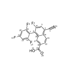 N#Cc1cc(F)c(-c2c(F)cc(F)cc2F)c2cc(C(=O)O)ccc12